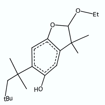 CCOC1Oc2cc(C(C)(C)CC(C)(C)C)c(O)cc2C1(C)C